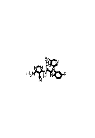 C[C@@H](Nc1ncnc(N)c1C#N)c1nc2ccc(F)cc2n1-c1cncc(Br)c1